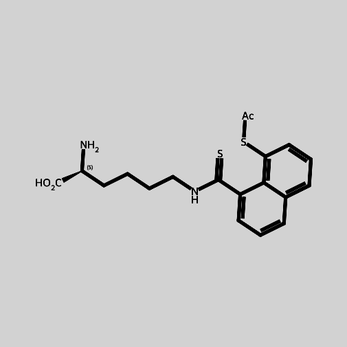 CC(=O)Sc1cccc2cccc(C(=S)NCCCC[C@H](N)C(=O)O)c12